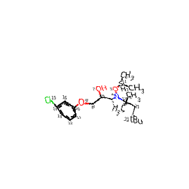 C[SiH](C)ON(CC(O)COc1cccc(Cl)c1)C(C)(C)CC(C)(C)C